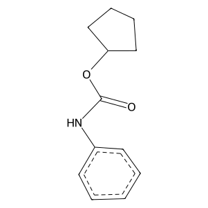 O=C(Nc1ccccc1)OC1CCCC1